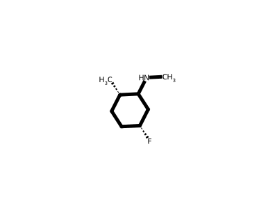 CNC1C[C@H](F)CC[C@@H]1C